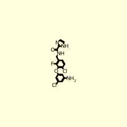 Nc1cc(Cl)cc(Oc2c(Cl)ccc(CNC(=O)c3ncc[nH]3)c2F)c1